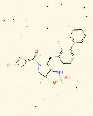 CS(=O)(=O)N[C@@H]1[C@H](Cc2cccc(-c3ccccc3)c2F)N(C(=O)C2CC(F)C2)CC1(F)F